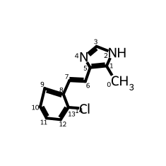 Cc1[nH]cnc1C=Cc1ccccc1Cl